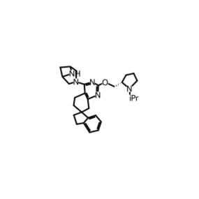 CC(C)N1CCC[C@H]1COc1nc2c(c(N3CC4CC(C3)N4)n1)CCC1(CCc3ccccc31)C2